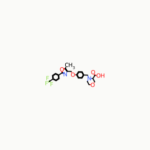 Cc1oc(-c2ccc(C(F)(F)F)cc2)nc1COc1ccc(CN2CCOCC2C(=O)O)cc1